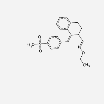 CCON=CC1CCc2ccccc2C1=Cc1ccc(S(C)(=O)=O)cc1